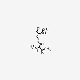 CNC(NC)NCCC[C@@H](C=O)NC